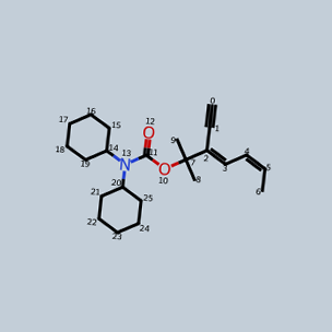 C#C/C(=C\C=C/C)C(C)(C)OC(=O)N(C1CCCCC1)C1CCCCC1